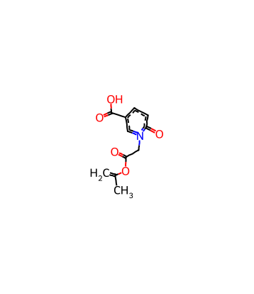 C=C(C)OC(=O)Cn1cc(C(=O)O)ccc1=O